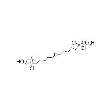 O=C(O)C(Cl)(Cl)CCCCCOCCCCCC(Cl)(Cl)C(=O)O